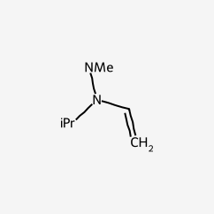 C=CN(NC)C(C)C